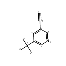 C#Cc1cncc(C(C)(C)C)c1